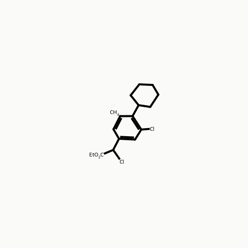 C.CCOC(=O)C(Cl)c1ccc(C2CCCCC2)c(Cl)c1